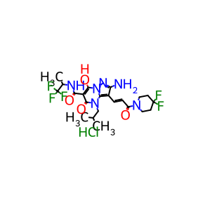 CC(C)Cn1c(=O)c(C(=O)NC(C)C(F)(F)F)c(O)n2nc(N)c(C=CC(=O)N3CCC(F)(F)CC3)c12.Cl